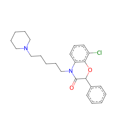 O=C1C(c2ccccc2)Oc2c(Cl)cccc2N1CCCCCN1CCCCC1